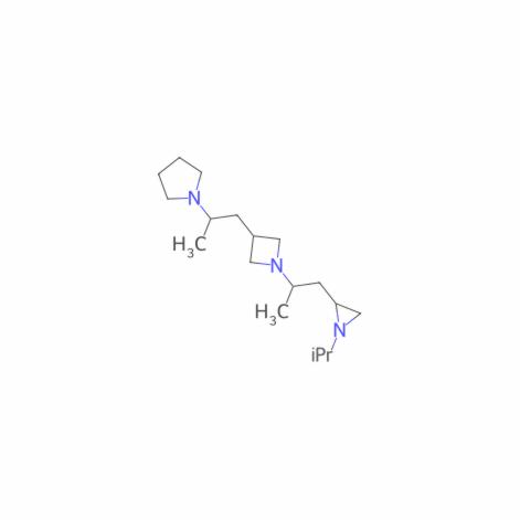 CC(CC1CN(C(C)CC2CN2C(C)C)C1)N1CCCC1